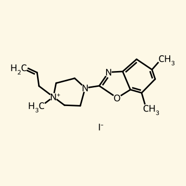 C=CC[N+]1(C)CCN(c2nc3cc(C)cc(C)c3o2)CC1.[I-]